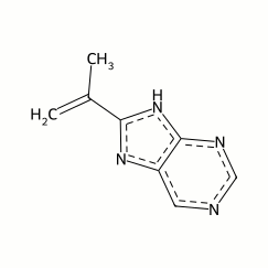 C=C(C)c1nc2cncnc2[nH]1